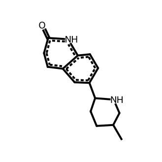 CC1CCC(c2ccc3[nH]c(=O)ccc3c2)NC1